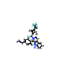 C/C=C/c1cc(F)c([C@@H]2c3[nH]c4ccccc4c3C[C@@H](C)N2CC23CC(C(F)(F)F)(C2)C3)c(F)c1